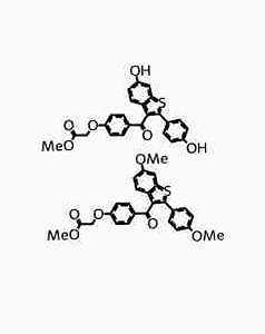 COC(=O)COc1ccc(C(=O)c2c(-c3ccc(O)cc3)sc3cc(O)ccc23)cc1.COC(=O)COc1ccc(C(=O)c2c(-c3ccc(OC)cc3)sc3cc(OC)ccc23)cc1